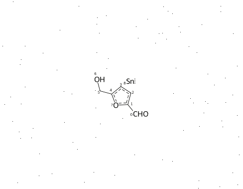 O=Cc1ccc(CO)o1.[Sn]